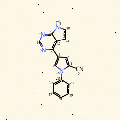 N#Cc1cc(-c2ncnc3[nH]ccc23)cn1-c1ccccc1